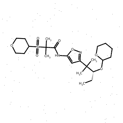 CC[C@@H](OC1CCCCO1)C(C)(C)c1cc(NC(=O)C(C)(C)S(=O)(=O)C2CCOCC2)on1